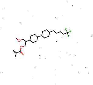 C=C(C)C(=O)OCC(COC)C1CCC(C2CCC(CCCCC(F)(F)F)CC2)CC1